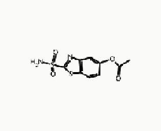 CC(=O)Oc1ccc2sc(S(N)(=O)=O)nc2c1